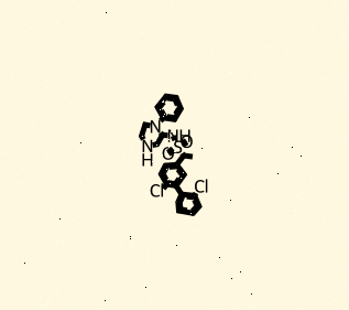 CC(c1ccc(Cl)c(-c2ccccc2Cl)c1)S(=O)(=O)NC1CNCCN1c1ccccc1